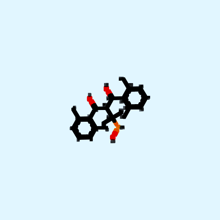 Cc1cccc(C)c1C(=O)C(C(=O)c1c(C)cccc1C)C(C)(C)P=O